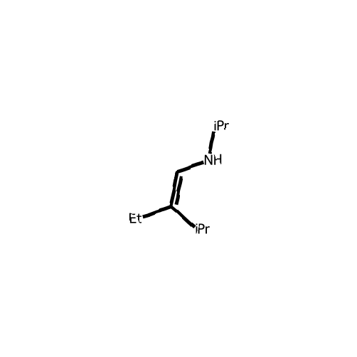 CC/C(=C/NC(C)C)C(C)C